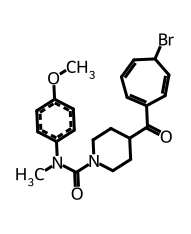 COc1ccc(N(C)C(=O)N2CCC(C(=O)C3=CC=CC(Br)C=C3)CC2)cc1